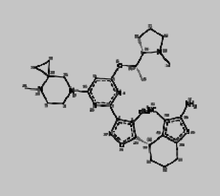 CCCCc1c(-c2nc(O[C@@H](C)[C@@H]3CCCN3C)cc(N3CCN(C)C4(CC4)C3)n2)noc1[C@H]1CCCc2sc(N)c(C#N)c21